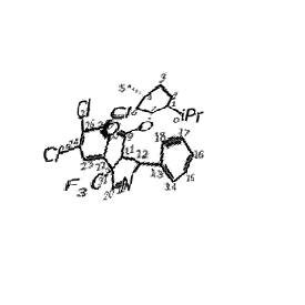 CC(C)[C@@H]1CC[C@@H](C)C[C@H]1OC(=O)C1C(c2ccccc2)N=CC1(c1cc(Cl)c(Cl)c(Cl)c1)C(F)(F)F